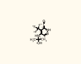 CC(C)(O)NC1=C(C(F)(F)F)C(=C=O)NN=C1